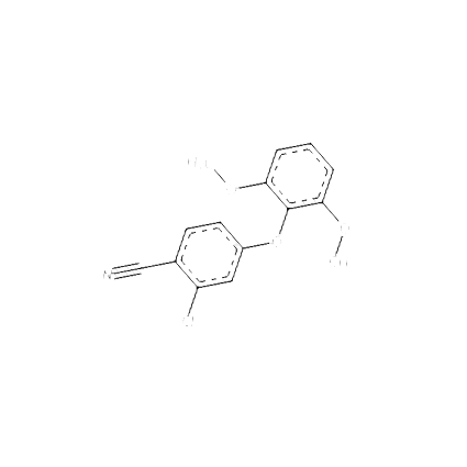 COc1cccc(OC)c1Oc1ccc(C#N)c(Cl)c1